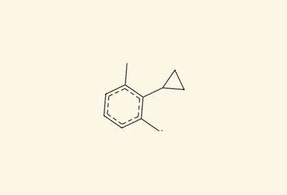 [CH2]c1cccc(C)c1C1CC1